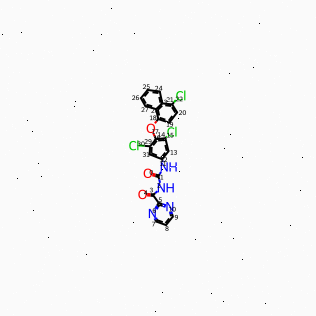 O=C(NC(=O)c1ncccn1)Nc1cc(Cl)c(Oc2ccc(Cl)c3ccccc23)c(Cl)c1